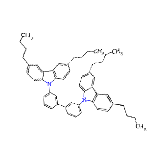 CCCCc1ccc2c(c1)c1cc(CCCC)ccc1n2-c1cccc(-c2cccc(-n3c4ccc(CCCC)cc4c4cc(CCCC)ccc43)c2)c1